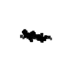 CO[C@@H]1CC[C@H]1Nc1cc(NC(=O)N2CCCc3cc(CN(C)C(=O)[C@H]4CCCO4)c(C=O)nc32)ncc1C#N